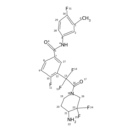 Cc1cc(NC(=O)c2ccc(F)c(C(F)(F)C(=O)N3CCC(N)C(F)(F)C3)c2)ccc1F